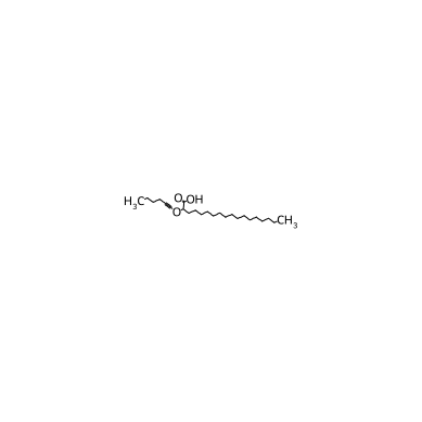 CCCCC#COC(CCCCCCCCCCCCCCCC)C(=O)O